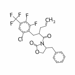 C=CCC(Cc1c(Cl)cc(C(F)(F)F)c(F)c1F)C(=O)N1C(=O)OCC1Cc1ccccc1